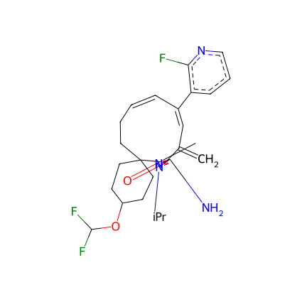 C=C1/C=C(c2cccnc2F)\C=C/CCC2(CCC(OC(F)F)CC2)C12N=C(N)N(C(C)C)C2=O